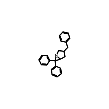 c1ccc(CC2CC3N(C2)C3(c2ccccc2)c2ccccc2)cc1